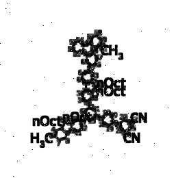 CCCCCCCCC1(CCCCCCCC)c2cc(C)ccc2-c2ccc(-c3cc(-c4ccc(-c5cc(C#N)cc(C#N)c5)cc4)cc(-c4ccc5c(c4)C(CCCCCCCC)(CCCCCCCC)c4cc(-c6cccc(-c7ccccc7-c7cccc(C)c7)c6)ccc4-5)c3)cc21